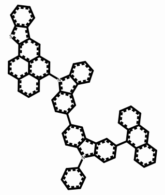 c1ccc(-n2c3ccc(-c4ccc5c(c4)c4ccccc4n5-c4cc5cc6c7ccccc7sc6c6ccc7cccc4c7c56)cc3c3cc(-c4c5ccccc5cc5ccccc45)ccc32)cc1